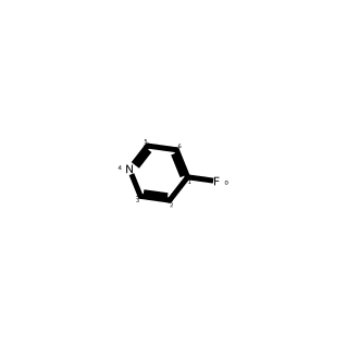 Fc1c[c]n[c]c1